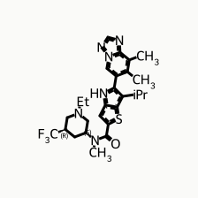 CCN1C[C@@H](N(C)C(=O)c2cc3[nH]c(-c4cn5ncnc5c(C)c4C)c(C(C)C)c3s2)C[C@@H](C(F)(F)F)C1